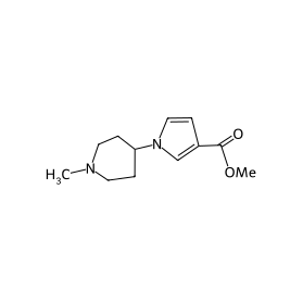 COC(=O)c1ccn(C2CCN(C)CC2)c1